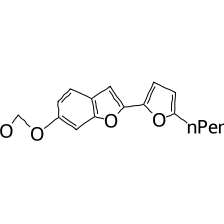 CCCCCc1ccc(-c2cc3ccc(OCO)cc3o2)o1